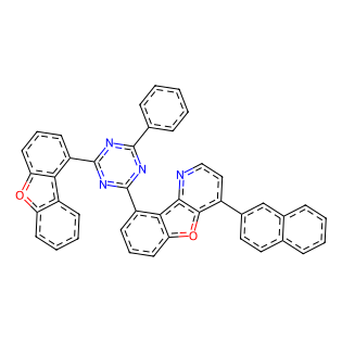 c1ccc(-c2nc(-c3cccc4oc5ccccc5c34)nc(-c3cccc4oc5c(-c6ccc7ccccc7c6)ccnc5c34)n2)cc1